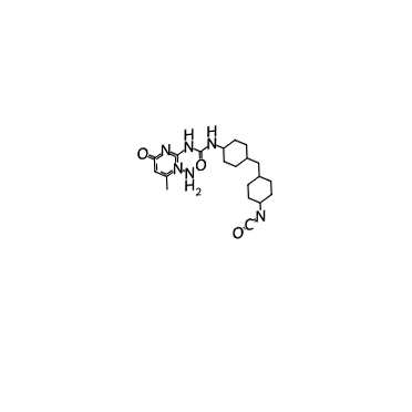 Cc1cc(=O)nc(NC(=O)NC2CCC(CC3CCC(N=C=O)CC3)CC2)n1N